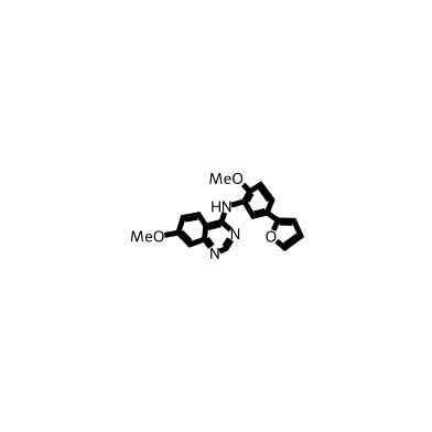 COc1ccc2c(Nc3cc(-c4ccco4)ccc3OC)ncnc2c1